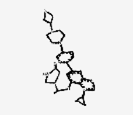 CC(Oc1cc(-c2ccc(N3CCN(C4COC4)CC3)cn2)cc2ncn(C3CC3)c12)[C@H]1CNC(=O)C1